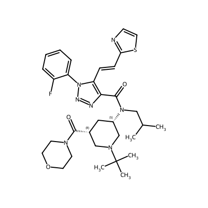 CC(C)CN(C(=O)c1nnn(-c2ccccc2F)c1C=Cc1nccs1)[C@H]1C[C@@H](C(=O)N2CCOCC2)CN(C(C)(C)C)C1